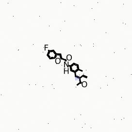 C=C/C(=C\c1cc(NC(=O)c2cc3cc(F)ccc3o2)ccc1C)C(C)=O